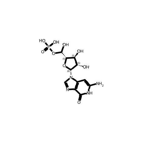 Nc1cc2c(ncn2[C@@H]2O[C@H](C(O)OP(=O)(O)O)[C@@H](O)[C@@H]2O)c(=O)[nH]1